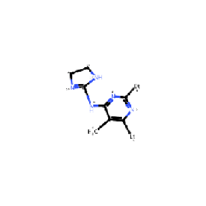 CCc1nc(CC)c(C)c(NC2=NCCN2)n1